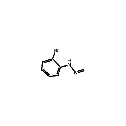 C=NNc1ccccc1Br